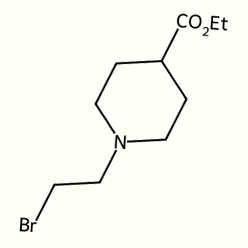 CCOC(=O)C1CCN(CCBr)CC1